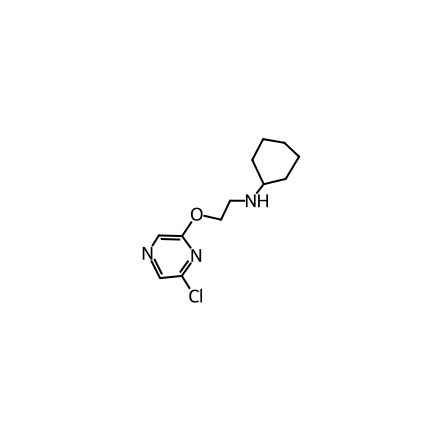 Clc1cncc(OCCNC2CCCCC2)n1